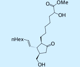 CCCCCCC=C[C@H]1[C@H](CO)CC(=O)[C@@H]1CCCCCC(O)C(=O)OC